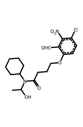 CC(O)N(C(=O)CCCOc1ccc(Cl)c([N+](=O)[O-])c1C=O)C1CCCCC1